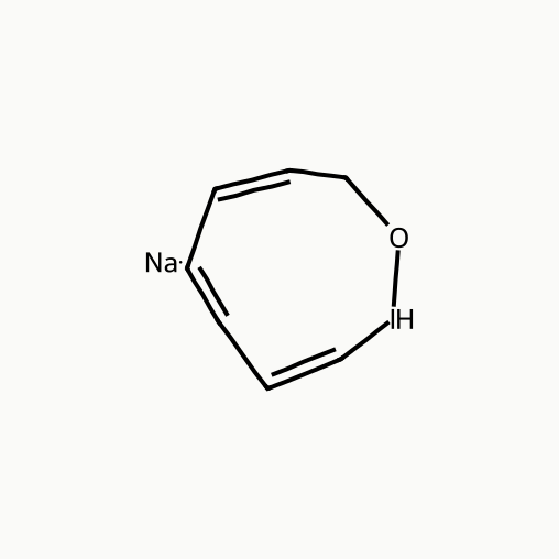 C1=CC=C[IH]OCC=C1.[Na]